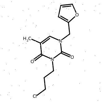 Cc1cn(Cc2ccco2)c(=O)n(CCCCl)c1=O